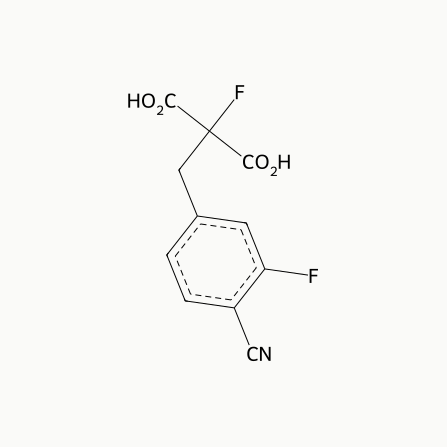 N#Cc1ccc(CC(F)(C(=O)O)C(=O)O)cc1F